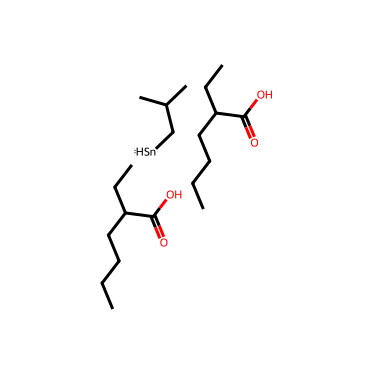 CC(C)[CH2][SnH].CCCCC(CC)C(=O)O.CCCCC(CC)C(=O)O